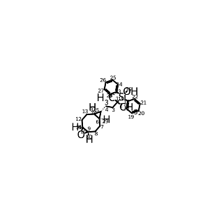 CC(C)(CC[C@@H]1[C@H]2CC[C@@H]3O[C@@H]3CC[C@H]21)[Si](O)(c1ccccc1)c1ccccc1